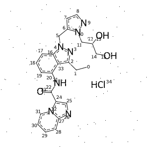 CCc1nn(Cc2ccnn2CC(O)CO)c2cccc(NC(=O)c3cnc4ccccn34)c12.Cl